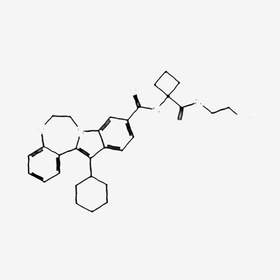 O=C(NC1(C(=O)NCCO)CCC1)c1ccc2c(C3CCCCC3)c3n(c2c1)CCOc1ccccc1-3